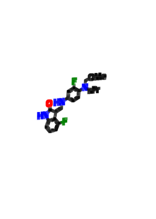 CCCN(COC)c1ccc(NC=C2C(=O)Nc3cccc(F)c32)cc1F